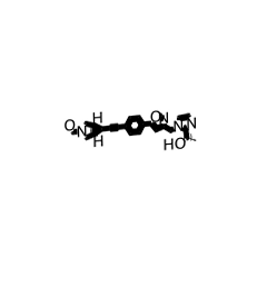 C[C@H](O)c1nccn1Cc1cc(-c2ccc(C#CC3[C@H]4CN(C=O)C[C@@H]34)cc2)on1